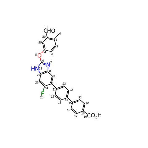 Cc1ccc(Oc2nc3cc(-c4ccc(-c5ccc(C(=O)O)cc5)cc4)c(F)cc3[nH]2)cc1C=O